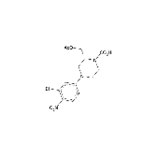 CCc1cc(N2CCN(C(=O)O)[C@@H](COC(C)=O)C2)ccc1[N+](=O)[O-]